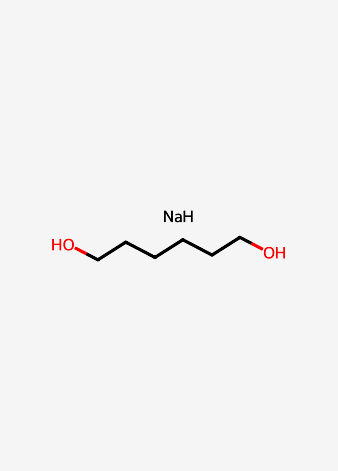 OCCCCCCO.[NaH]